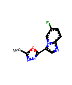 COc1nnc(-c2cnc3ccc(Br)cn23)o1